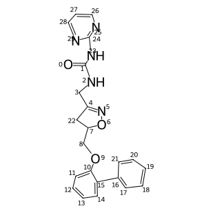 O=C(NCC1=NOC(COc2ccccc2-c2ccccc2)C1)Nc1ncccn1